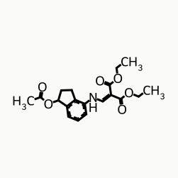 CCOC(=O)C(=CNc1cccc2c1CCC2OC(C)=O)C(=O)OCC